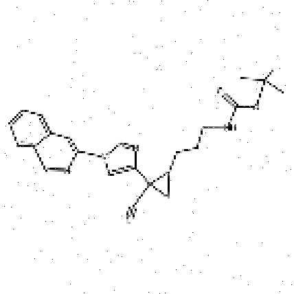 CC(C)(C)OC(=O)NCCCC1CC1(C#N)c1cn(-c2cc3ccccc3cn2)cn1